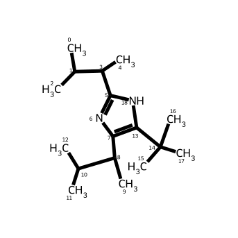 CC(C)C(C)c1nc(C(C)C(C)C)c(C(C)(C)C)[nH]1